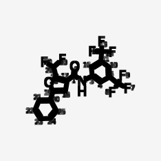 O=C(Nc1cc(C(F)(F)F)cc(C(F)(F)F)c1)c1cc(-c2ccccc2)oc1C(F)F